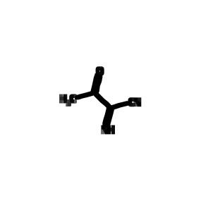 CC(=O)C(=N)C#N